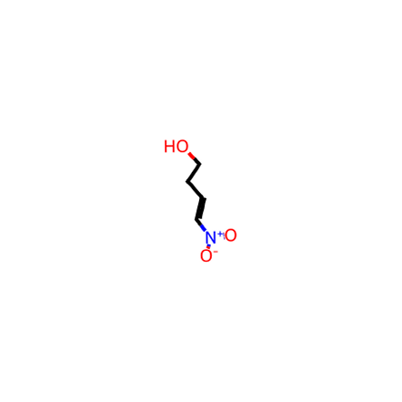 O=[N+]([O-])/C=C/CCO